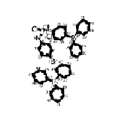 [Cl][Tc]([Cl])([Cl])=[N]c1ccc(Br)cc1.c1ccc(P(c2ccccc2)c2ccccc2)cc1.c1ccc(P(c2ccccc2)c2ccccc2)cc1